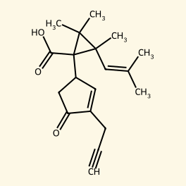 C#CCC1=CC(C2(C(=O)O)C(C)(C)C2(C)C=C(C)C)CC1=O